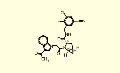 CC(=O)c1cn(CC(=O)N2[C@@H]3C[C@@H]3C[C@H]2C(=O)NCc2cc(C#N)cc(Cl)c2F)c2ccccc12